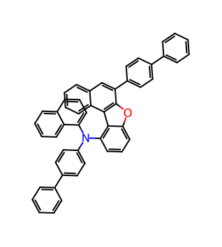 c1ccc(-c2ccc(-c3cc4ccccc4c4c3oc3cccc(N(c5ccc(-c6ccccc6)cc5)c5cccc6ccccc56)c34)cc2)cc1